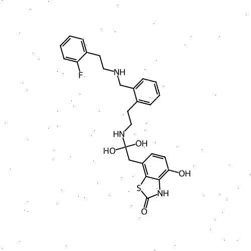 O=c1[nH]c2c(O)ccc(CC(O)(O)NCCc3ccccc3CNCCc3ccccc3F)c2s1